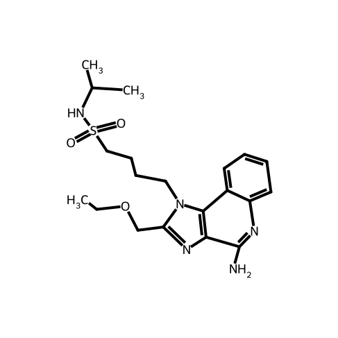 CCOCc1nc2c(N)nc3ccccc3c2n1CCCCS(=O)(=O)NC(C)C